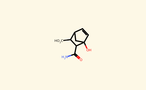 NC(=O)C1C(C(=O)O)C2C=CC1(O)C2